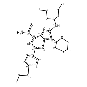 CCCC(CCC)Nc1nc2c(C(N)=O)nc(-c3ccc(OCC)cc3)nc2n1C1CCCCC1